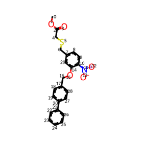 COC(=O)CSCc1ccc([N+](=O)[O-])c(OCc2ccc(-c3ccccc3)cc2)c1